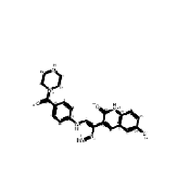 N=N/C(=C\Nc1ccc(C(=O)N2CCOCC2)cc1)c1cc2cc(Cl)ccc2[nH]c1=O